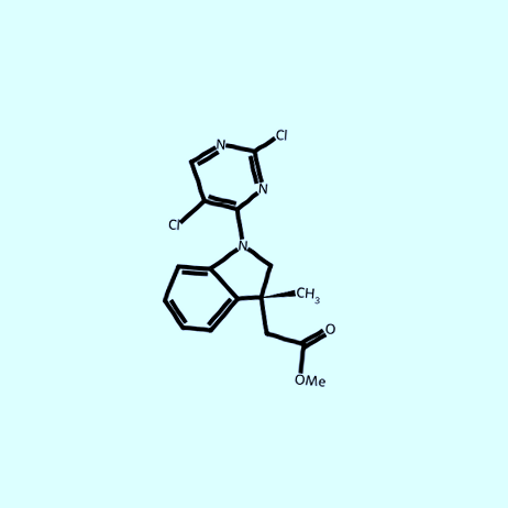 COC(=O)C[C@@]1(C)CN(c2nc(Cl)ncc2Cl)c2ccccc21